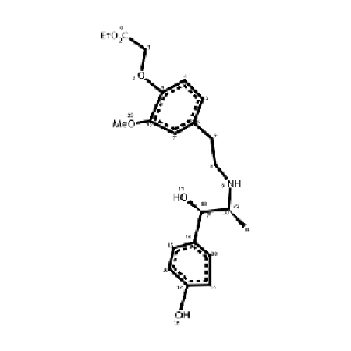 CCOC(=O)COc1ccc(CCN[C@@H](C)[C@H](O)c2ccc(O)cc2)cc1OC